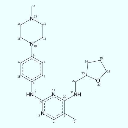 Cc1cnc(Nc2ccc(N3CCN(C)CC3)cc2)nc1NCC1CCCO1